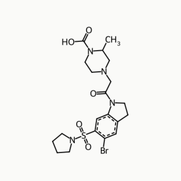 CC1CN(CC(=O)N2CCc3cc(Br)c(S(=O)(=O)N4CCCC4)cc32)CCN1C(=O)O